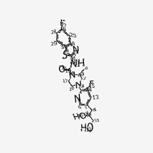 C[C@H]1CN(c2ncc(C[C@H](O)CO)cc2F)CCN1C(=O)Nc1nc2cc(F)ccc2s1